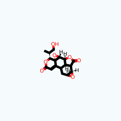 CC(CO)[C@H]1OC(=O)C=C2[C@@]13O[C@@H]3[C@H]1OC(=O)[C@@]3(C)[C@H]4O[C@H]4C[C@@]2(C)[C@@H]13